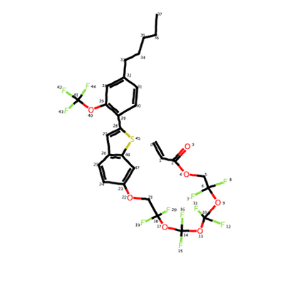 C=CC(=O)OCC(F)(F)OC(F)(F)OC(F)(F)OC(F)(F)COc1ccc2cc(-c3ccc(CCCCC)cc3OC(F)(F)F)sc2c1